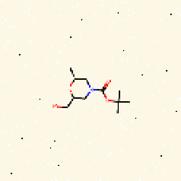 C[C@H]1CN(C(=O)OC(C)(C)C)CC(CO)O1